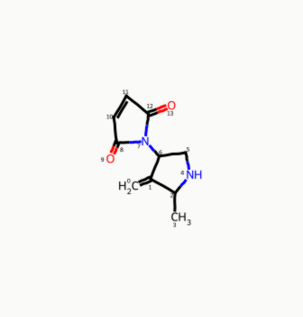 C=C1C(C)NCC1N1C(=O)C=CC1=O